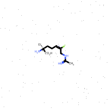 CC[C@](N)(CC/C=C(/F)CNC(C)=N)C(=O)O